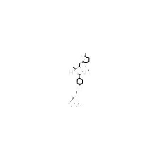 C=C(NC(CCC)c1ccc(OCCOCCNC)cc1)/C(C#N)=C/c1cccc(C)n1